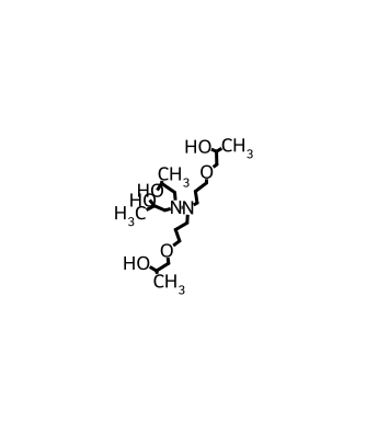 CC(O)COCCCN(CCCOCC(C)O)N(CC(C)O)CC(C)O